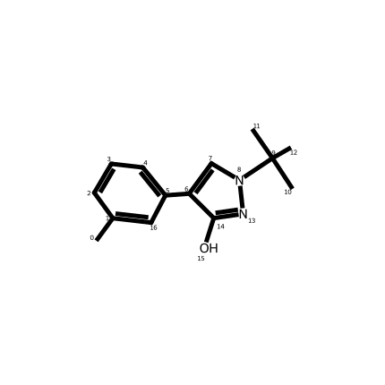 Cc1cccc(-c2cn(C(C)(C)C)nc2O)c1